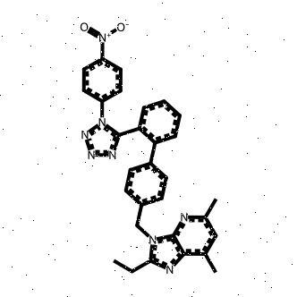 CCc1nc2c(C)cc(C)nc2n1Cc1ccc(-c2ccccc2-c2nnnn2-c2ccc([N+](=O)[O-])cc2)cc1